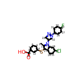 Cc1c(Sc2cccc(C(=O)O)c2)c2ccc(Cl)cc2n1-c1cnn(-c2ccc(F)cc2)c1